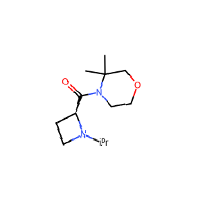 CC(C)N1CC[C@H]1C(=O)N1CCOCC1(C)C